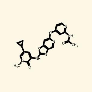 CC(=O)Nc1cc(Oc2cc3sc(Nc4cc(C5CC5)cn(C)c4=O)nc3cn2)ccn1